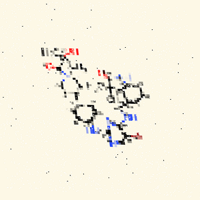 CC(C)(O)C(=O)N1CCC(c2ccc(Nc3ncc(Br)c(NCc4cccc5c4C(C)(C)C(=O)N5)n3)cc2)CC1